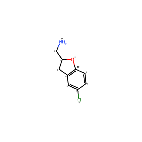 NCC1Cc2cc(Cl)ccc2O1